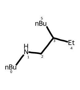 CCCCNCC(CC)CCCC